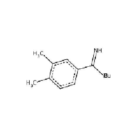 CCC(C)C(=N)c1ccc(C)c(C)c1